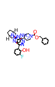 Nc1nnc(-c2cccc(F)c2O)cc1N1C[C@H]2CC[C@@H](C1)N2c1nccc(C2CCN(C(=O)OCc3ccccc3)CC2)n1